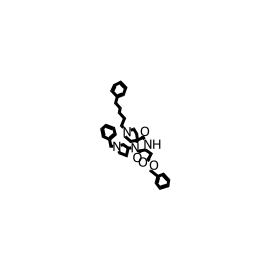 O=C(CC1NC(=O)C2(CCN(CCCCCc3ccccc3)CC2)N(C2CCN(Cc3ccccc3)C2)C1=O)OCc1ccccc1